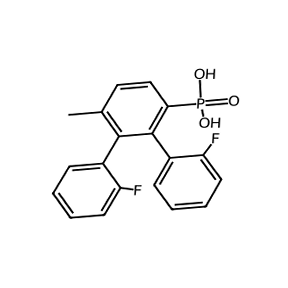 Cc1ccc(P(=O)(O)O)c(-c2ccccc2F)c1-c1ccccc1F